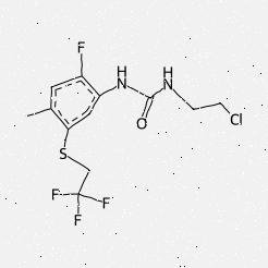 Cc1cc(F)c(NC(=O)NCCCl)cc1SCC(F)(F)F